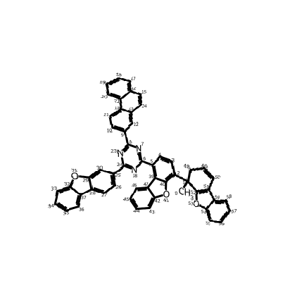 CC1(c2ccc(-c3nc(-c4ccc5c(ccc6ccccc65)c4)nc(-c4ccc5c(c4)oc4ccccc45)n3)c3c2oc2ccccc23)CC=Cc2c1oc1ccccc21